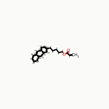 C=CC(=O)OCCCCCc1ccc2cc3ccccc3cc2c1